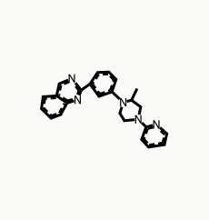 CC1CN(c2ccccn2)CCN1c1cccc(-c2ncc3ccccc3n2)c1